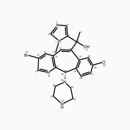 Cn1cncc1C(C)(O)C1=Cc2cc(Br)cnc2[C@@H](N2CCNCC2)c2ccc(Cl)cc21